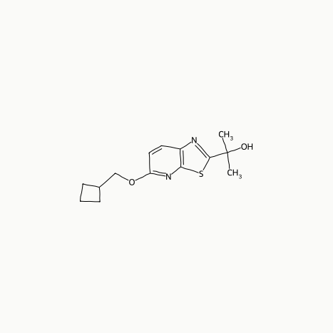 CC(C)(O)c1nc2ccc(OCC3CCC3)nc2s1